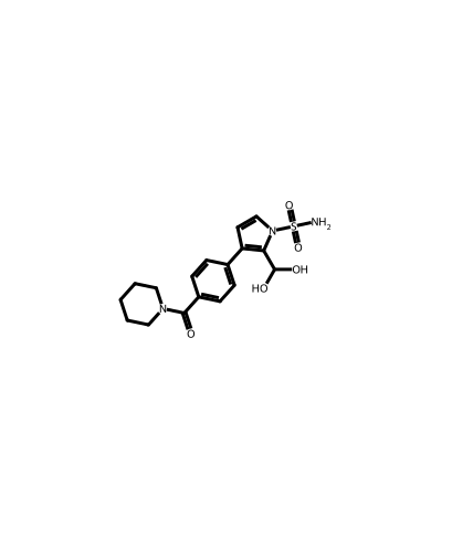 NS(=O)(=O)n1ccc(-c2ccc(C(=O)N3CCCCC3)cc2)c1C(O)O